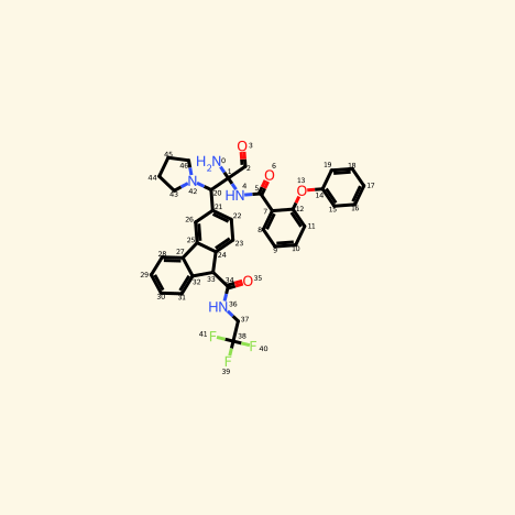 NC(C=O)(NC(=O)c1ccccc1Oc1ccccc1)C(c1ccc2c(c1)-c1ccccc1C2C(=O)NCC(F)(F)F)N1CCCC1